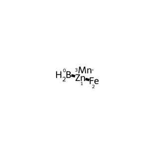 [BH2][Zn][Fe].[Mn]